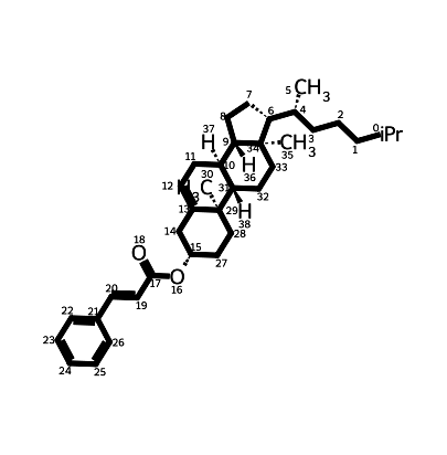 CC(C)CCC[C@@H](C)[C@H]1CC[C@H]2[C@@H]3CC=C4C[C@@H](OC(=O)/C=C/c5ccccc5)CC[C@]4(C)[C@H]3CC[C@]12C